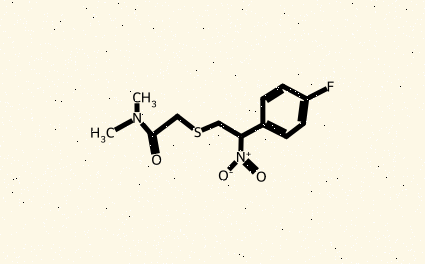 CN(C)C(=O)CSCC(c1ccc(F)cc1)[N+](=O)[O-]